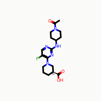 CC(=O)N1CCC(Nc2ncc(F)c(N3CCC[C@H](C(=O)O)C3)n2)CC1